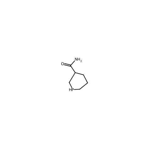 NC(=O)C1CCCPC1